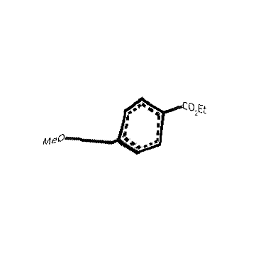 CCOC(=O)c1ccc(COC)cc1